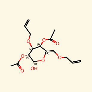 C=CCOC[C@H]1O[C@H](O)[C@H](OC(C)=O)[C@@H](OCC=C)[C@H]1OC(C)=O